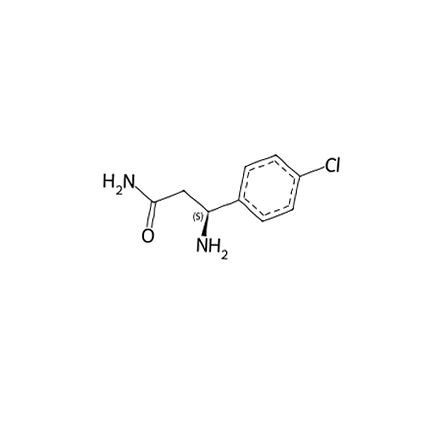 NC(=O)C[C@H](N)c1ccc(Cl)cc1